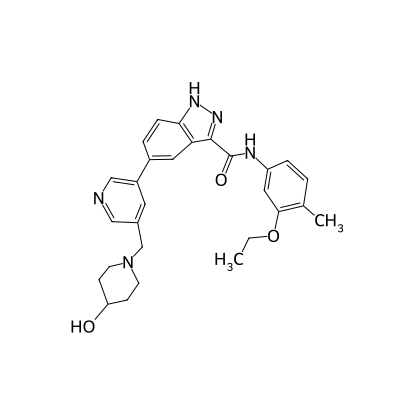 CCOc1cc(NC(=O)c2n[nH]c3ccc(-c4cncc(CN5CCC(O)CC5)c4)cc23)ccc1C